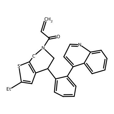 C=CC(=O)N1Cc2sc(CC)cc2C(c2ccccc2-c2ccnc3ccccc23)C1